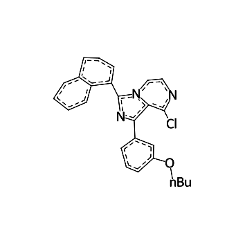 CCCCOc1cccc(-c2nc(-c3cccc4ccccc34)n3ccnc(Cl)c23)c1